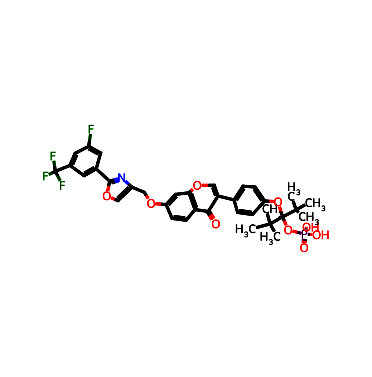 CC(C)(C)C(Oc1ccc(-c2coc3cc(OCc4coc(-c5cc(F)cc(C(F)(F)F)c5)n4)ccc3c2=O)cc1)(OP(=O)(O)O)C(C)(C)C